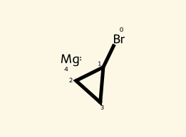 BrC1CC1.[Mg]